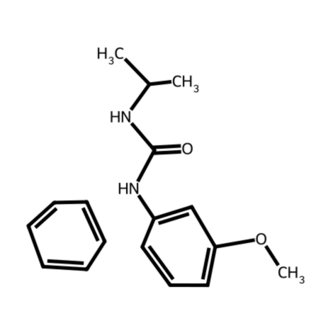 COc1cccc(NC(=O)NC(C)C)c1.c1ccccc1